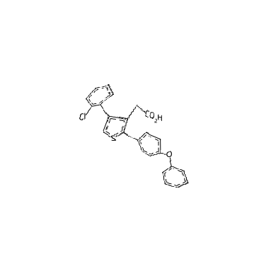 O=C(O)Cc1c(-c2ccccc2Cl)csc1-c1ccc(Oc2ccccc2)cc1